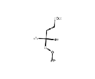 CCCCCCCCCCC(CCC)(CCC)OOCCC